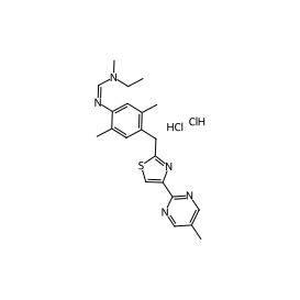 CCN(C)/C=N\c1cc(C)c(Cc2nc(-c3ncc(C)cn3)cs2)cc1C.Cl.Cl